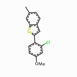 COc1ccc(-c2[c]c3ccc(C)cc3s2)c(Cl)c1